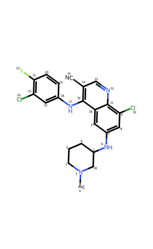 CC(=O)N1CCCC(Nc2cc(Cl)c3ncc(C#N)c(Nc4ccc(F)c(Cl)c4)c3c2)C1